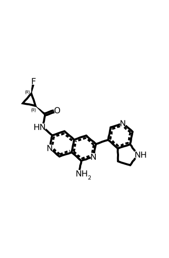 Nc1nc(-c2cncc3c2CCN3)cc2cc(NC(=O)[C@H]3C[C@H]3F)ncc12